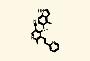 Cc1ncc(C#N)c(Nc2ccc3[nH]ccc3c2C)c1C=Cc1ccccn1